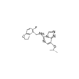 CC(C)Oc1cnc(NCc2c(F)ccc3c2CCO3)n2cnnc12